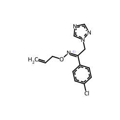 C=CCO/N=C(/Cn1cncn1)c1ccc(Cl)cc1